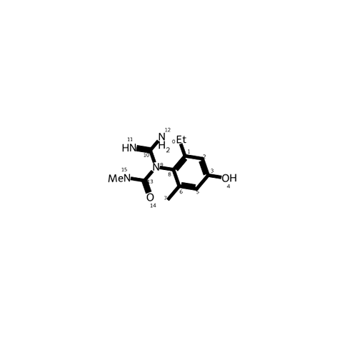 CCc1cc(O)cc(C)c1N(C(=N)N)C(=O)NC